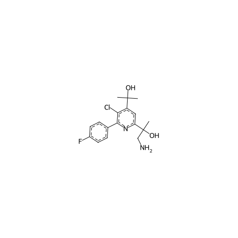 CC(C)(O)c1cc(C(C)(O)CN)nc(-c2ccc(F)cc2)c1Cl